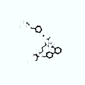 CCCCc1nc(Cl)c(C(=O)O)n1Cc1ccc(-c2ccccc2-c2nnn(C(C)OC(=O)Oc3cccc(CON(O)O)c3)n2)cc1